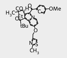 CCC(C)(Cc1c(C(=O)C(C)(C)C)c2cc(OCc3csc(C)n3)ccn2c1C(=O)c1ccc(OC)cc1)C(=O)O